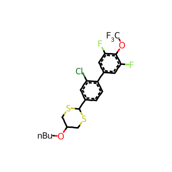 CCCCOC1CSC(c2ccc(-c3cc(F)c(OC(F)(F)F)c(F)c3)c(Cl)c2)SC1